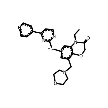 CCN1C(=O)COc2c(CN3CCOCC3)cc(Nc3nccc(-c4ccncc4)n3)cc21